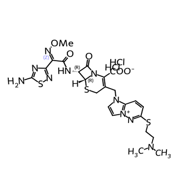 CO/N=C(\C(=O)N[C@@H]1C(=O)N2C(C(=O)[O-])=C(Cn3cc[n+]4nc(SCCN(C)C)ccc34)CS[C@H]12)c1nsc(N)n1.Cl.Cl